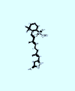 CNS(=O)(=O)C1=C(/C=C/C(C)=C/CC/C(C)=C/C2=NOC(=O)C2)C(C)(C)CCC1